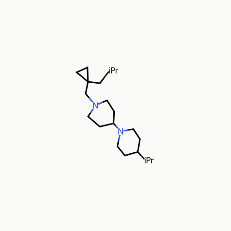 CC(C)CC1(CN2CCC(N3CCC(C(C)C)CC3)CC2)CC1